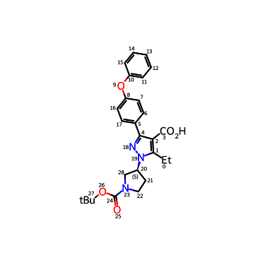 CCc1c(C(=O)O)c(-c2ccc(Oc3ccccc3)cc2)nn1[C@H]1CCN(C(=O)OC(C)(C)C)C1